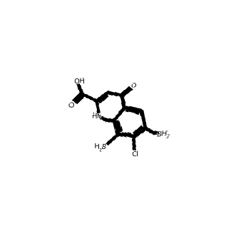 Bc1cc2c(=O)cc(C(=O)O)[nH]c2c(B)c1Cl